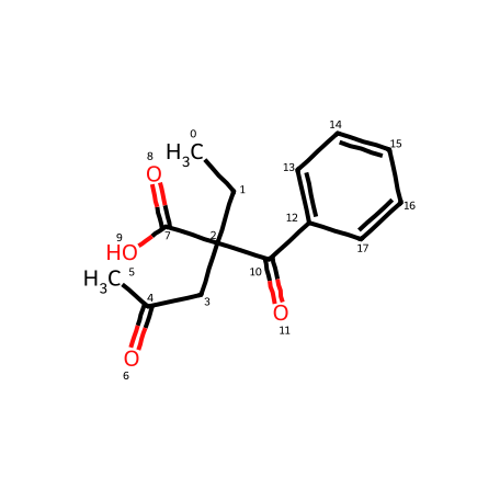 CCC(CC(C)=O)(C(=O)O)C(=O)c1ccccc1